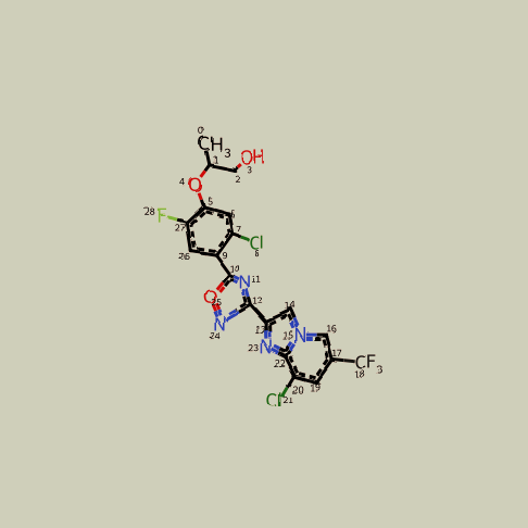 CC(CO)Oc1cc(Cl)c(-c2nc(-c3cn4cc(C(F)(F)F)cc(Cl)c4n3)no2)cc1F